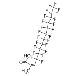 CC(=CC(F)(F)C(F)(F)C(F)(F)C(F)(F)C(F)(F)C(F)(F)C(F)(F)C(F)(F)C(F)(F)C(F)(F)C(F)(F)F)C(=O)O